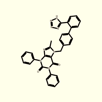 Cc1nc2c(c(=O)n(-c3ccccc3)c(=O)n2-c2ccccc2)n1Cc1ccc(-c2ccccc2-c2nnn[nH]2)cc1